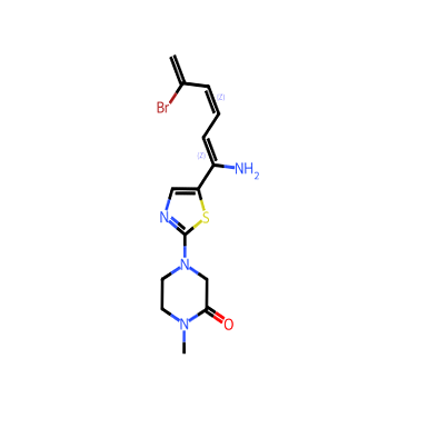 C=C(Br)/C=C\C=C(/N)c1cnc(N2CCN(C)C(=O)C2)s1